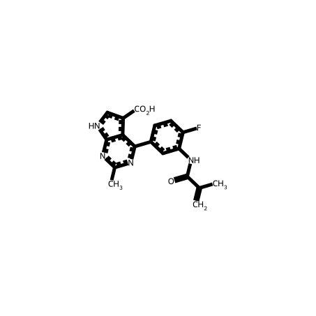 C=C(C)C(=O)Nc1cc(-c2nc(C)nc3[nH]cc(C(=O)O)c23)ccc1F